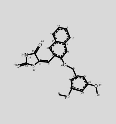 COc1cc(COc2cc3ccccc3cc2C=C2SC(=S)NC2=O)cc(OC)c1